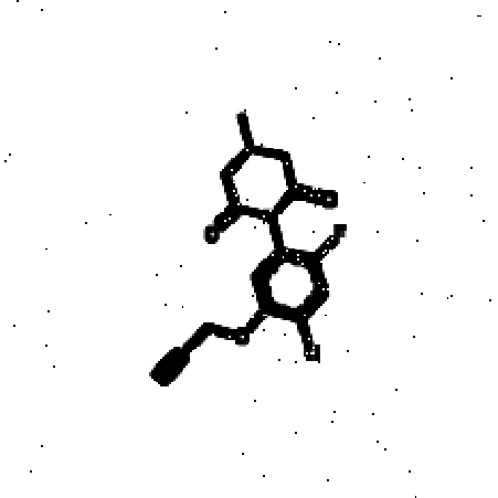 C#CCOc1cc(N2C(=O)CC(C)CC2=O)c(F)cc1Cl